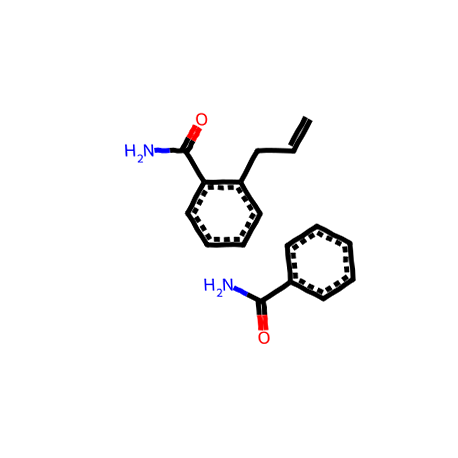 C=CCc1ccccc1C(N)=O.NC(=O)c1ccccc1